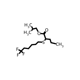 CCCC(SCCCCCC(F)(F)F)C(=O)OCC(C)C